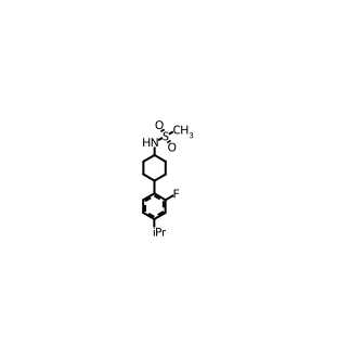 CC(C)c1ccc(C2CCC(NS(C)(=O)=O)CC2)c(F)c1